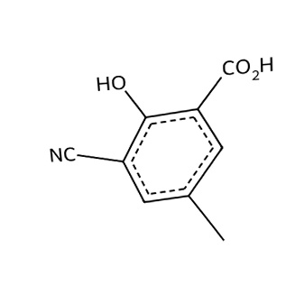 Cc1cc(C#N)c(O)c(C(=O)O)c1